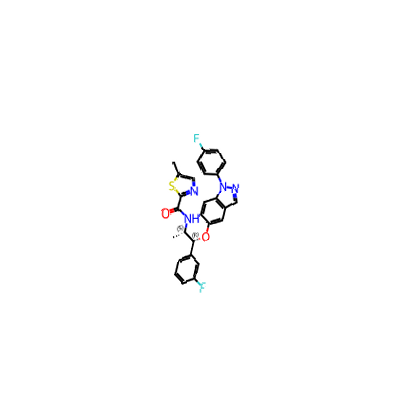 Cc1cnc(C(=O)N[C@@H](C)[C@H](Oc2ccc3c(cnn3-c3ccc(F)cc3)c2)c2cccc(F)c2)s1